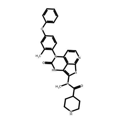 Cc1cc(Oc2ccccc2)ccc1N1C(=O)Nc2c(N(C)C(=O)C3CCNCC3)sc3nccc1c23